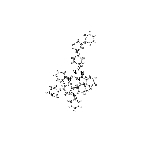 c1ccc(-c2cccc(-c3ccc(-c4nc(-c5ccccc5)nc(-n5c6ccccc6c6c(-c7ccccc7)cc7c(c8ccccc8n7-c7ccccc7)c65)n4)cc3)c2)cc1